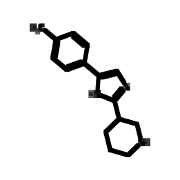 Cc1ccc(-c2cnc(C3CCCNC3)[nH]2)cc1